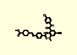 C#Cc1cc(OC)c(NC(=O)c2ccc(N=CN3CCC(C(=O)OC)CC3)cc2)c(C(=O)Nc2ccc(Cl)cn2)c1